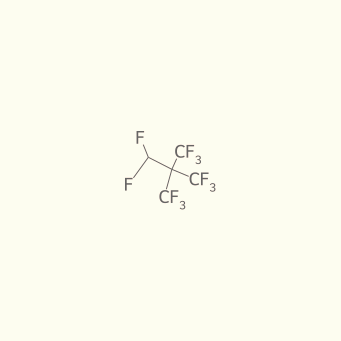 FC(F)C(C(F)(F)F)(C(F)(F)F)C(F)(F)F